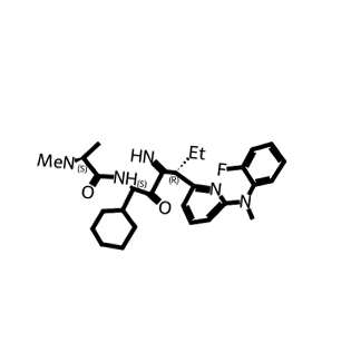 CC[C@@H](C(=N)C(=O)[C@@H](NC(=O)[C@H](C)NC)C1CCCCC1)c1cccc(N(C)c2ccccc2F)n1